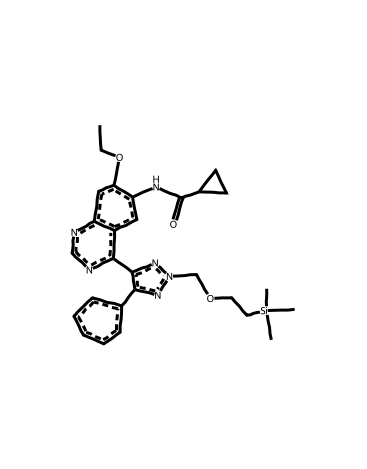 CCOc1cc2ncnc(-c3nn(COCC[Si](C)(C)C)nc3-c3ccccc3)c2cc1NC(=O)C1CC1